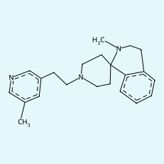 Cc1cncc(CCN2CCC3(CC2)c2ccccc2CCN3C)c1